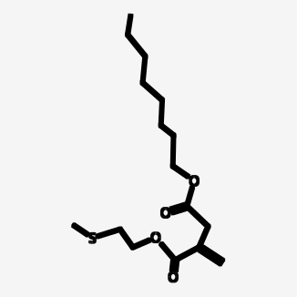 C=C(CC(=O)OCCCCCCCC)C(=O)OCCSC